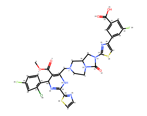 COC(=O)C1=C(CN2CCN3C(=O)N(c4nc(-c5cc(F)cc(C(=O)O)c5)cs4)CC3C2)NC(c2nccs2)=NC1c1ccc(F)cc1Cl